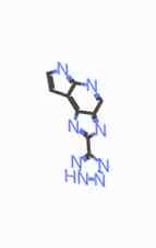 C1=Cc2c3c(cnc2=N1)=NC(c1nn[nH]n1)=N3